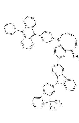 C=C1/C=C\C=C/CN(c2ccc(-c3c4ccccc4c(-c4ccccc4)c4ccccc34)cc2)c2ccc(-c3ccc4c(c3)c3ccccc3n4-c3ccc4c(c3)C(C)(C)c3ccccc3-4)cc21